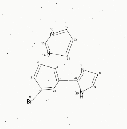 Brc1cccc(-c2ncc[nH]2)c1.c1cncnc1